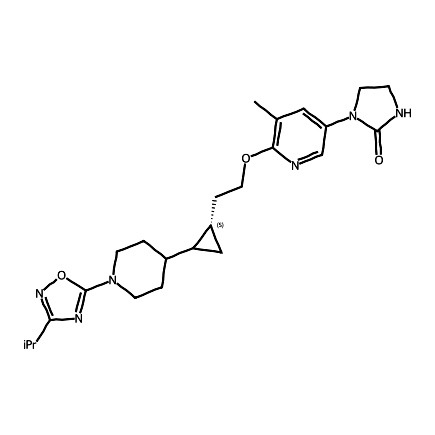 Cc1cc(N2CCNC2=O)cnc1OCC[C@@H]1CC1C1CCN(c2nc(C(C)C)no2)CC1